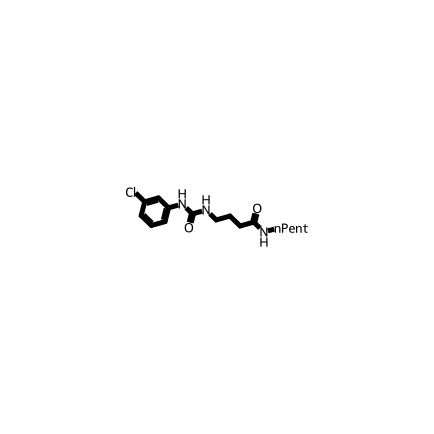 CCCCCNC(=O)CCCNC(=O)Nc1cccc(Cl)c1